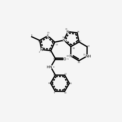 Cc1nc(C(=O)Nc2ccccc2)c(-n2ncc3c2N=CNC3)s1